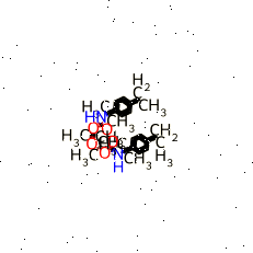 C=C(C)c1ccc(C(C)(C)NC(=O)OC(C)(C)OC(C)(C)OC(=O)NC(C)(C)c2ccc(C(=C)C)cc2)cc1